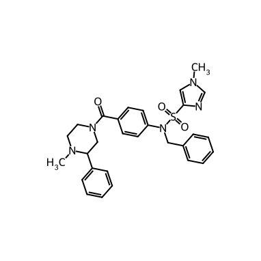 CN1CCN(C(=O)c2ccc(N(Cc3ccccc3)S(=O)(=O)c3cn(C)cn3)cc2)CC1c1ccccc1